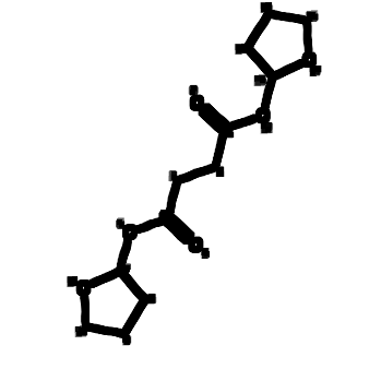 O=C(CCC(=O)OC1CCCO1)OC1CCCO1